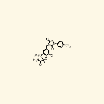 COc1cc(CN2C(=O)CN(c3ccc(C(F)(F)F)cc3)C2=O)cc(Cl)c1OC(C)(C)C(N)=O